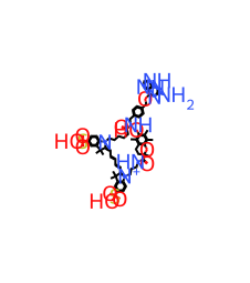 Cc1c(C)c2c(c(C)c1O)CCC(C)(C(=O)NCCC[N+]1=C(/C=C/C=C/C=C3/N(CCCCCC(=O)NCc4ccc(COc5nc(N)nc6[nH]cnc56)cc4)c4ccc(S(=O)(=O)O)cc4C3(C)C)C(C)(C)c3cc(S(=O)(=O)O)ccc31)O2